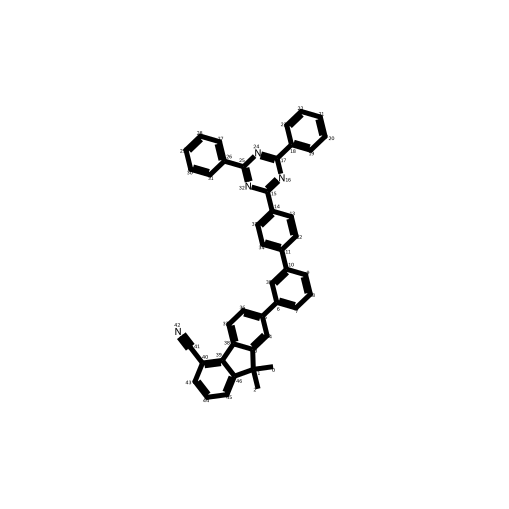 CC1(C)c2cc(-c3cccc(-c4ccc(-c5nc(-c6ccccc6)nc(-c6ccccc6)n5)cc4)c3)ccc2-c2c(C#N)cccc21